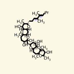 CC(=C\CC[C@@H]1O[C@@H]2C[C@@H]3O[C@](C)(C[C@H]4C[C@H](O)[C@@H]5O[C@]6(C)C[C@H](O)[C@@H](C)O[C@@]6(C)CC[C@H]5O4)[C@@H](O)CC[C@@]3(C)O[C@H]2[C@@H](O)[C@@H]1C)/C(C)=C/C(C)C